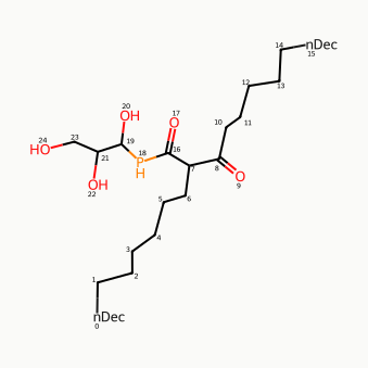 CCCCCCCCCCCCCCCCC(C(=O)CCCCCCCCCCCCCCC)C(=O)PC(O)C(O)CO